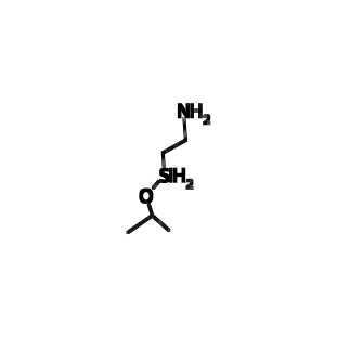 CC(C)O[SiH2]CCN